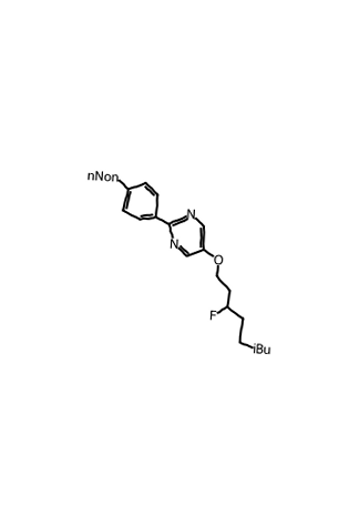 CCCCCCCCCc1ccc(-c2ncc(OCCC(F)CCC(C)CC)cn2)cc1